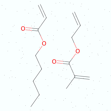 C=CC(=O)OCCCCC.C=CCOC(=O)C(=C)C